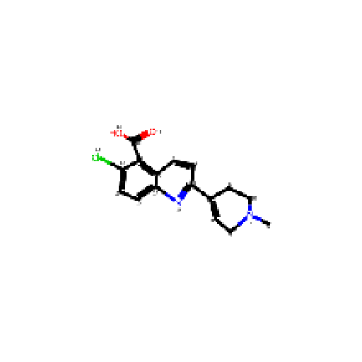 CN1CC=C(c2ccc3c(C(=O)O)c(Cl)ccc3n2)CC1